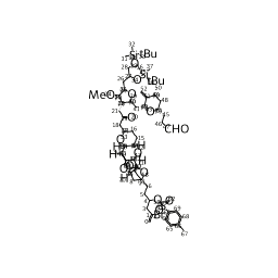 C=C(Br)CC(CC[C@@]12C[C@H]3OC4[C@@H](O[C@H]5CC[C@H](CC(=O)C[C@@H]6[C@@H](OC)[C@@H](CC(CO[Si](C)(C)C(C)(C)C)O[Si](C)(C)C(C)(C)C)O[C@H]6C[C@H]6O[C@@H](CCC=O)C[C@@H](C)C6=C)O[C@@H]5[C@@H]4O1)[C@H]3O2)OS(=O)(=O)c1ccc(C)cc1